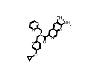 Cc1cc2cc(C(=O)N(Cc3ccc(OC4CC4)cn3)Cc3ncccn3)ncc2nc1N